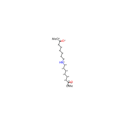 COC(=O)CCCCCCNCCCCCCC(=O)OC